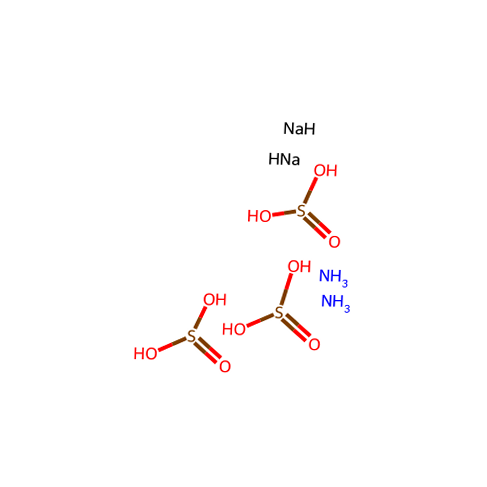 N.N.O=S(O)O.O=S(O)O.O=S(O)O.[NaH].[NaH]